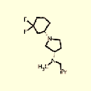 CC(C)CN(C)[C@H]1CCN([C@H]2CCCC(F)(F)C2)C1